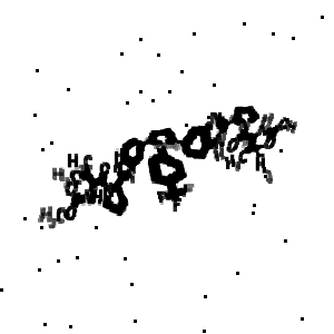 COC(=O)N[C@H](C(=O)N1CCCC1c1nc2cc([C@H]3CC[C@H](c4ccc5[nH]c([C@@H]6CCCN6C(=O)[C@@H](NC(=O)O)C(C)C)nc5c4)N3c3ccc(C(F)(F)F)cc3)ccc2[nH]1)C(C)C